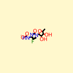 COC(=O)Nc1nc(=O)n(C2OC(C)C(O)C2O)cc1F